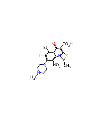 CCc1c(F)c(N2CCN(C)CC2)c([N+](=O)[O-])c2c1c(=O)c(C(=O)O)c1n2C(C)S1